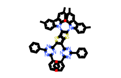 Cc1ccc2c(c1)c1cc(C)ccc1n2-c1sc2c(-c3nc(-c4ccccc4)nc(-c4ccccc4)n3)c(-c3nc(-c4ccccc4)nc(-c4ccccc4)n3)sc2c1-n1c2ccc(C)cc2c2cc(C)ccc21